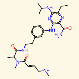 CCc1nc(C(N)=O)c(Nc2cccc(CCNC(=O)C(C)N(C)C(=O)C=CCNC)c2)nc1NC(C)C